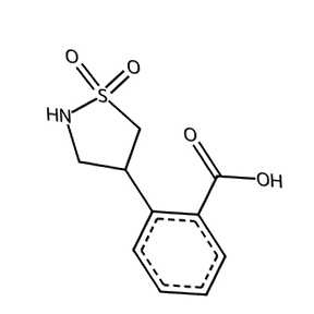 O=C(O)c1ccccc1C1CNS(=O)(=O)C1